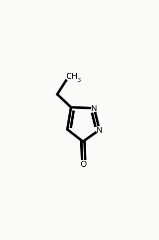 CCC1=CC(=O)N=N1